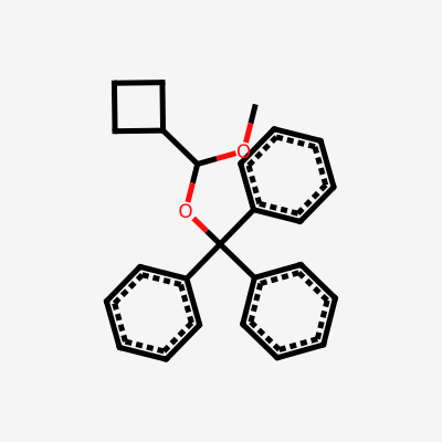 COC(OC(c1ccccc1)(c1ccccc1)c1ccccc1)C1CCC1